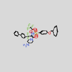 NC1CCN(C(=O)[C@H](N(OC(=O)C(F)(F)F)S(=O)(=O)c2ccc(OCC3CCCCC3)cc2)C(F)(F)c2ccc(-c3ccccc3)cc2)CC1